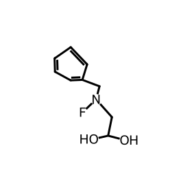 OC(O)CN(F)Cc1ccccc1